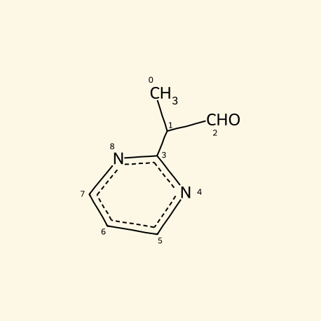 CC(C=O)c1ncccn1